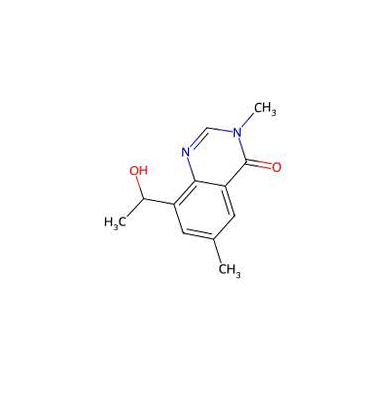 Cc1cc(C(C)O)c2ncn(C)c(=O)c2c1